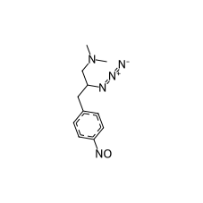 CN(C)CC(Cc1ccc(N=O)cc1)N=[N+]=[N-]